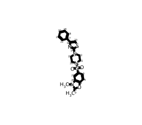 CC1Oc2ccc(S(=O)(=O)N3CCN(c4nc(-c5ccccc5)cs4)CC3)cc2N1C